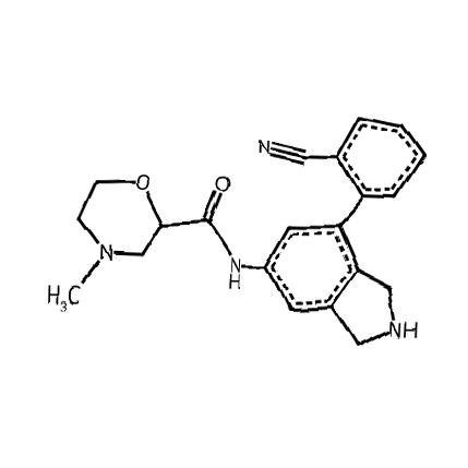 CN1CCOC(C(=O)Nc2cc3c(c(-c4ccccc4C#N)c2)CNC3)C1